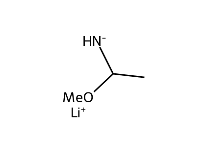 COC(C)[NH-].[Li+]